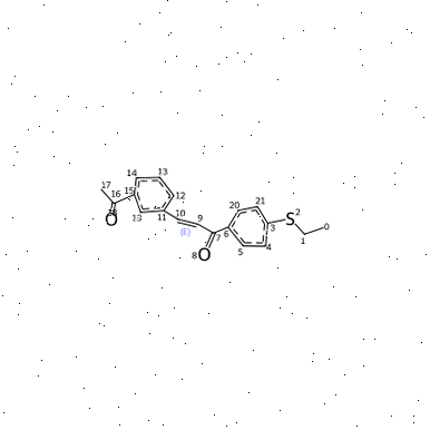 CCSc1ccc(C(=O)/C=C/c2cccc(C(C)=O)c2)cc1